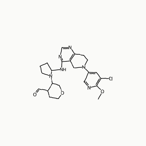 COc1ncc(N2CCc3ncnc(NC4CCCN4C4COCCC4C=O)c3C2)cc1Cl